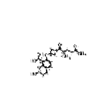 NC(=O)CC[C@@H](N)C(=O)N1CC(Oc2ccc3c(c2C(O)O)OB(O)CC3)C1